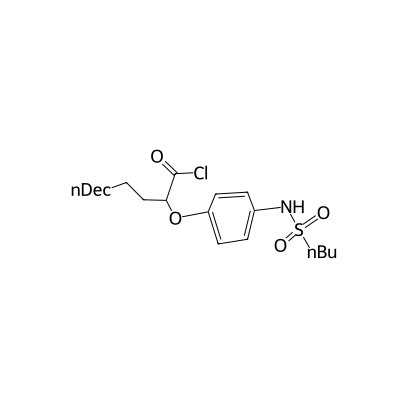 CCCCCCCCCCCCC(Oc1ccc(NS(=O)(=O)CCCC)cc1)C(=O)Cl